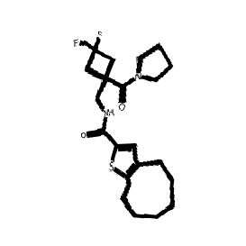 O=C(NCC1(C(=O)N2CCCC2)CC(F)(F)C1)c1cc2c(s1)CCCCCC2